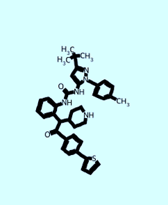 Cc1ccc(-n2nc(C(C)(C)C)cc2NC(=O)Nc2ccccc2C(C(=O)c2ccc(-c3cccs3)cc2)C2CCNCC2)cc1